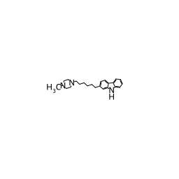 CN1CCN(CCCCCCc2ccc3c(c2)[nH]c2ccccc23)CC1